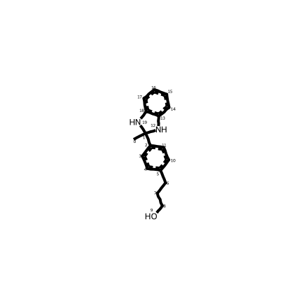 CC1(c2ccc(CCCO)cc2)Nc2ccccc2N1